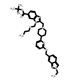 CCCOCn1c(CN2CCC(c3cccc(OCc4ccc5cn(CC)nc5c4)n3)CC2)nc2ccc(C(=O)OC(C)(C)C)cc21